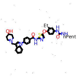 CCCCCNC(=O)Nc1ccc(Oc2cnc(NC(=O)c3ccc(-n4cc(CN5CCC(O)CC5)c5ccccc54)cc3)s2)c(CC)c1